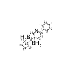 BC(B)(c1ccc(-c2ccccc2)nc1)C1CCCC1